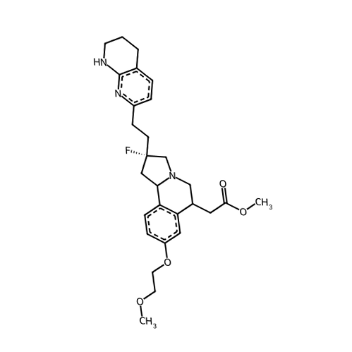 COCCOc1ccc2c(c1)C(CC(=O)OC)CN1C[C@](F)(CCc3ccc4c(n3)NCCC4)CC21